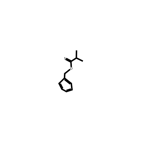 CC(C)C(=S)OCc1ccccc1